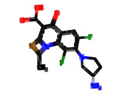 C=c1sc2c(C(=O)O)c(=O)c3cc(F)c(N4CC[C@H](N)C4)c(F)c3n12